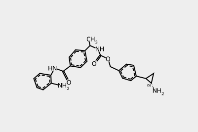 CC(NC(=O)OCc1ccc(C2C[C@@H]2N)cc1)c1ccc(C(=O)Nc2ccccc2N)cc1